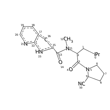 CC(C)CC(C(=O)N1CCCC1C#N)N(C)C(=O)c1cc2cccnc2[nH]1